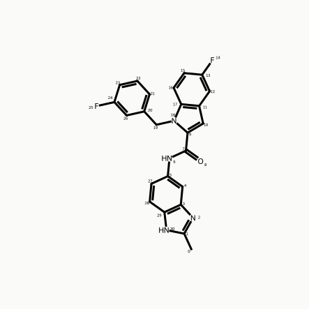 Cc1nc2cc(NC(=O)c3cc4cc(F)ccc4n3Cc3cccc(F)c3)ccc2[nH]1